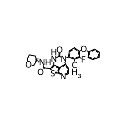 Cc1c(N2C(=O)Nc3c(C(=O)N[C@@H]4CCCOC4)sc4nccc2c34)ccc(Oc2ccccc2)c1F